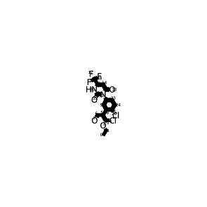 CCOC(Cl)=C(C=O)c1cc(-n2c(=O)cc(C(F)(F)F)[nH]c2=O)ccc1Cl